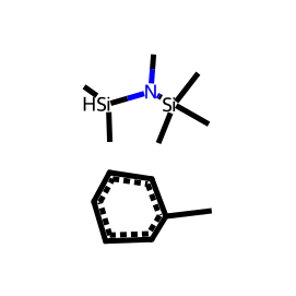 CN([SiH](C)C)[Si](C)(C)C.Cc1ccccc1